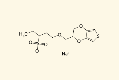 CCC(CCOCC1COc2cscc2O1)S(=O)(=O)[O-].[Na+]